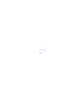 C[C@H]1CC[C@H](c2cc(F)c3c(cnn3C3CCCCO3)c2)NC1